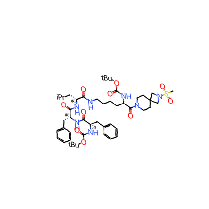 CC(C)C[C@@H](NC(=O)[C@@H](Cc1ccccc1)NC(=O)[C@@H](Cc1ccccc1)NC(=O)OC(C)(C)C)C(=O)NCCCCC(NC(=O)OC(C)(C)C)C(=O)N1CCC2(CC1)CN(S(C)(=O)=O)C2